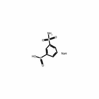 NS(=O)(=O)c1cccc(S(=O)O)c1.[NaH]